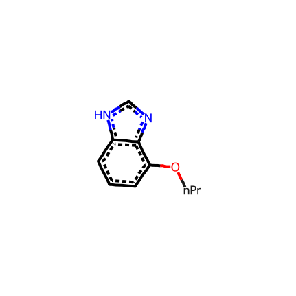 CCCOc1cccc2[nH]cnc12